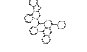 c1ccc(-c2ccc(N(c3ccccc3-c3cccc4ccccc34)c3cc4sc5ccccc5c4c4ccccc34)cc2)cc1